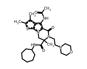 CC(=O)Nc1c2n(c3sc(C)c(C)c13)CC(C)(C(=O)NC1CCCCCC1)N(CCN1CCOCC1)C2=O